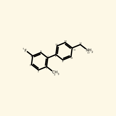 Cc1ccc(F)cc1-c1ccc(CN)cc1